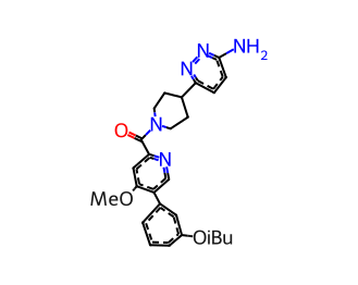 COc1cc(C(=O)N2CCC(c3ccc(N)nn3)CC2)ncc1-c1cccc(OCC(C)C)c1